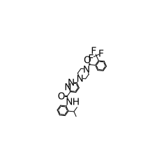 CC(C)c1ccccc1NC(=O)c1ccc(N2CCN(C(=O)c3ccccc3C(F)(F)F)CC2)nn1